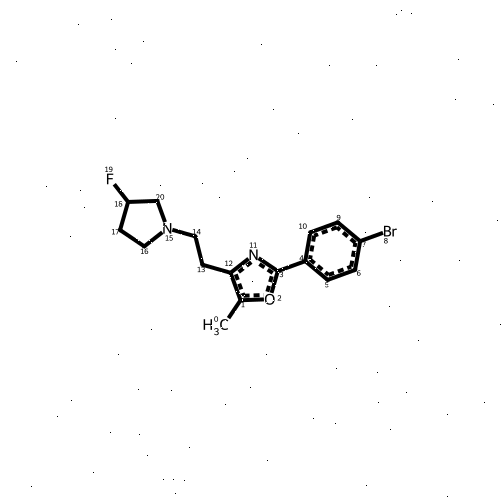 Cc1oc(-c2ccc(Br)cc2)nc1CCN1CCC(F)C1